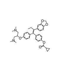 CCC(=C(c1ccc(OC(=O)C2CC2)cc1)c1ccc(OC(CN(C)C)CN(C)C)cc1)c1ccc2c(c1)OCO2